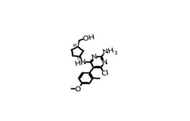 COc1ccc(-c2c(Cl)nc(N)nc2N[C@H]2CC[C@@H](CO)C2)c(C)c1